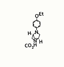 CCOc1ccc(N2C[C@@H]3C[C@H]2CN3C(=O)O)cc1